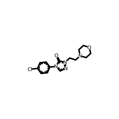 O=c1n(-c2ccc(Cl)cc2)cnn1CCN1CCOCC1